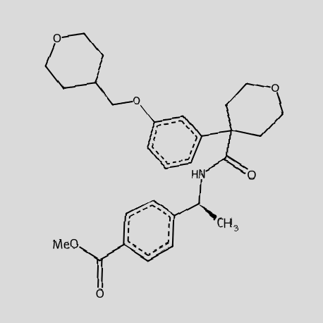 COC(=O)c1ccc([C@H](C)NC(=O)C2(c3cccc(OCC4CCOCC4)c3)CCOCC2)cc1